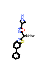 CC(=O)NC(c1nnc(C2CNC2)o1)c1nc2ccc(-c3ccccc3)cc2s1